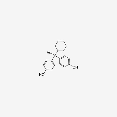 CC(=O)C(c1ccc(O)cc1)(c1ccc(O)cc1)C1CCCCC1